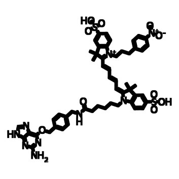 CC1(C)C(/C=C/C=C/C=C2/N(CCCCCC(=O)NCc3ccc(COc4nc(N)nc5[nH]cnc45)cc3)c3ccc(S(=O)(=O)O)cc3C2(C)C)=[N+](CCCc2ccc([N+](=O)[O-])cc2)c2ccc(S(=O)(=O)O)cc21